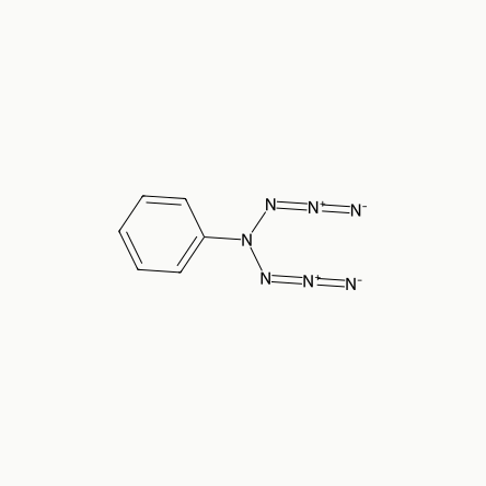 [N-]=[N+]=NN(N=[N+]=[N-])c1ccccc1